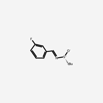 CC(C)(C)[S@@+]([O-])N=Cc1cccc(F)c1